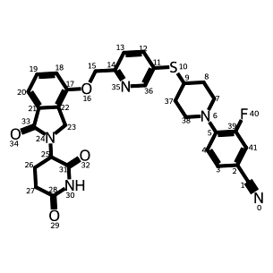 N#Cc1ccc(N2CCC(Sc3ccc(COc4cccc5c4CN(C4CCC(=O)NC4=O)C5=O)nc3)CC2)c(F)c1